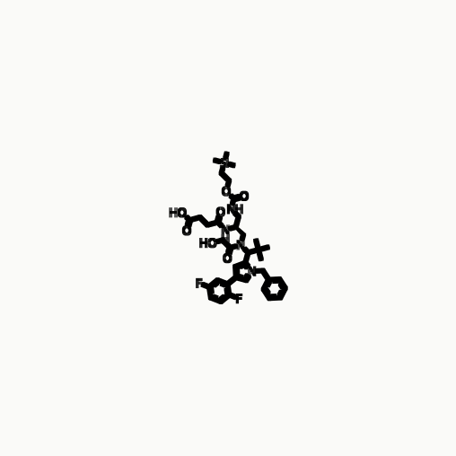 CC(C)(C)C(c1cc(-c2cc(F)ccc2F)cn1Cc1ccccc1)N(C[C@H](CNC(=O)OCC[Si](C)(C)C)NC(=O)CCC(=O)O)C(=O)CO